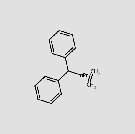 C=C.CCCC(c1ccccc1)c1ccccc1